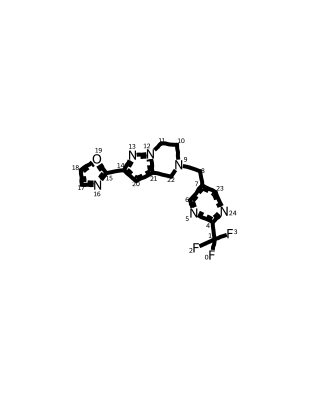 FC(F)(F)c1ncc(CN2CCn3nc(-c4ncco4)cc3C2)cn1